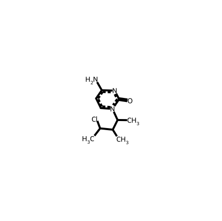 CC(Cl)C(C)C(C)n1ccc(N)nc1=O